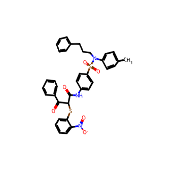 Cc1ccc(N(CCCc2ccccc2)S(=O)(=O)c2ccc(NC(=O)C(Sc3ccccc3[N+](=O)[O-])C(=O)c3ccccc3)cc2)cc1